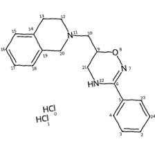 Cl.Cl.c1ccc(C2=NOC(CN3CCc4ccccc4C3)CN2)cc1